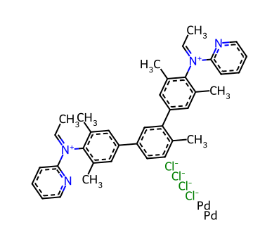 CC=[N+](c1ccccn1)c1c(C)cc(-c2ccc(C)c(-c3cc(C)c([N+](=CC)c4ccccn4)c(C)c3)c2)cc1C.[Cl-].[Cl-].[Cl-].[Cl-].[Pd].[Pd]